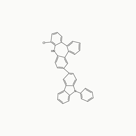 Clc1cccc2c1Nc1ccc(-c3ccc4c(c3)c3ccccc3n4-c3ccccc3)cc1-c1ccccc1-2